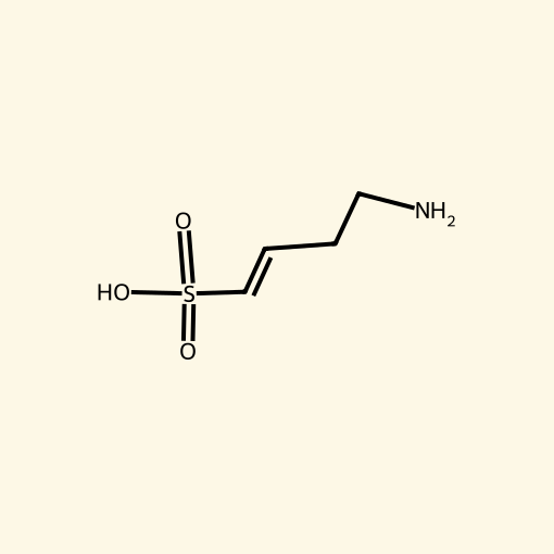 NCCC=CS(=O)(=O)O